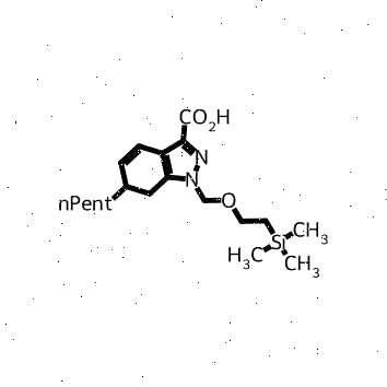 CCCCCC1C=Cc2c(C(=O)O)nn(COCC[Si](C)(C)C)c2C1